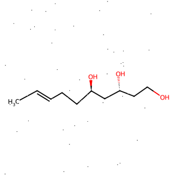 CC=CCC[C@@H](O)C[C@H](O)CCO